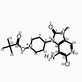 Cn1c(=O)n(C2CCN(OC(=O)C(C)(C)C)CC2)c2c(N)c(Cl)ncc21